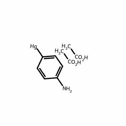 CC(=O)O.CC(=O)O.Nc1cc[c]([Hg])cc1